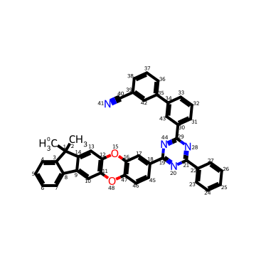 CC1(C)c2ccccc2-c2cc3c(cc21)Oc1cc(-c2nc(-c4ccccc4)nc(-c4cccc(-c5cccc(C#N)c5)c4)n2)ccc1O3